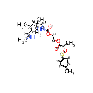 C=C(OSc1ccc(C)cc1)C(=O)OCCOC(=O)NCC(C)(C)CC(C)CCNC